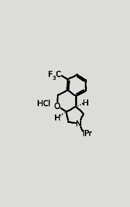 CC(C)N1C[C@@H]2c3cccc(C(F)(F)F)c3CO[C@@H]2C1.Cl